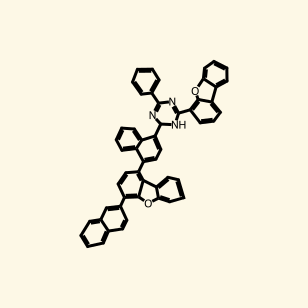 c1ccc(C2=NC(c3ccc(-c4ccc(-c5ccc6ccccc6c5)c5oc6ccccc6c45)c4ccccc34)NC(c3cccc4c3oc3ccccc34)=N2)cc1